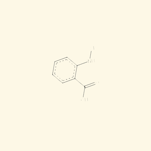 O=C(O)c1ccccc1NCl